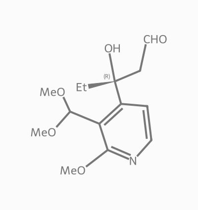 CC[C@@](O)(CC=O)c1ccnc(OC)c1C(OC)OC